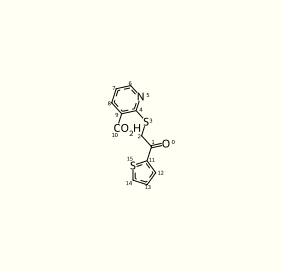 O=C(CSc1ncccc1C(=O)O)c1cccs1